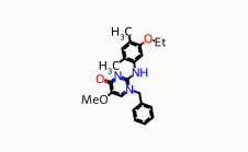 CCOc1cc(Nc2nc(=O)c(OC)cn2Cc2ccccc2)c(C)cc1C